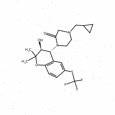 CC1(C)Oc2ccc(SC(F)(F)F)cc2[C@@H](N2CCN(CC3CC3)CC2=O)[C@@H]1O